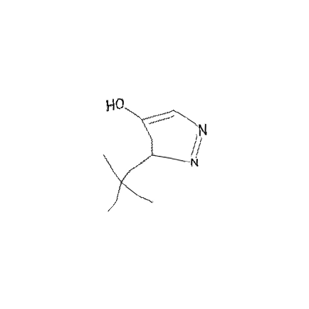 CC(C)(C)C1N=NC=C1O